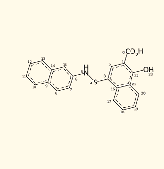 O=C(O)c1cc(SNc2ccc3ccccc3c2)c2ccccc2c1O